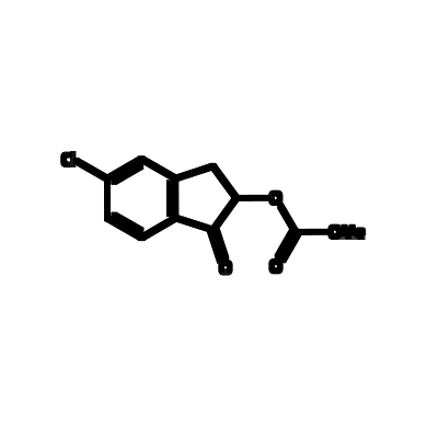 COC(=O)OC1Cc2cc(Cl)ccc2C1=O